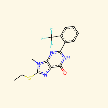 CCSc1nc2c(=O)[nH]c(-c3ccccc3C(F)(F)F)nc2n1C